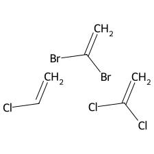 C=C(Br)Br.C=C(Cl)Cl.C=CCl